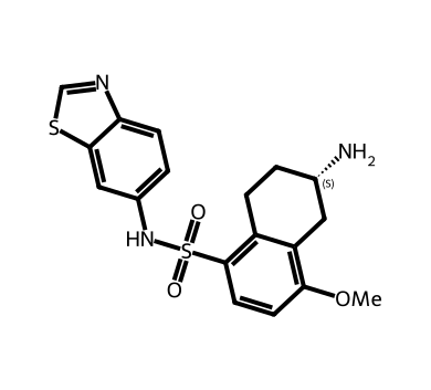 COc1ccc(S(=O)(=O)Nc2ccc3ncsc3c2)c2c1C[C@@H](N)CC2